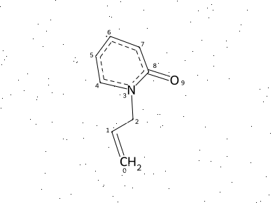 C=CCn1cc[c]cc1=O